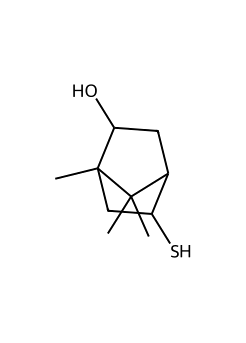 CC1(C)C2CC(O)C1(C)CC2S